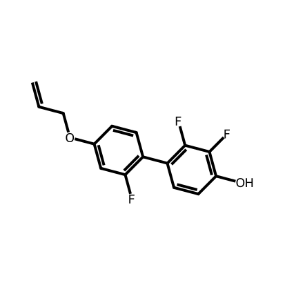 C=CCOc1ccc(-c2ccc(O)c(F)c2F)c(F)c1